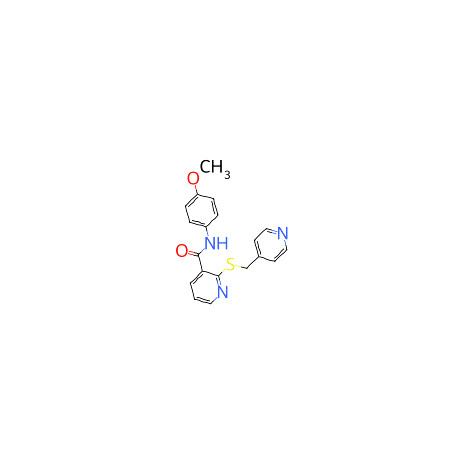 COc1ccc(NC(=O)c2cccnc2SCc2ccncc2)cc1